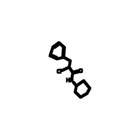 O=C(NC1CCCCC1)C(Cl)Cc1ccccc1